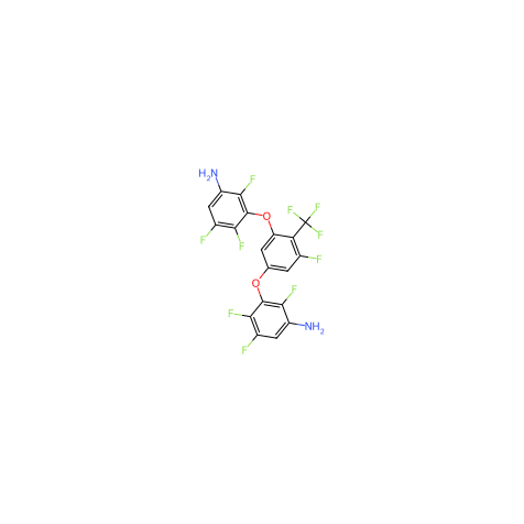 Nc1cc(F)c(F)c(Oc2cc(F)c(C(F)(F)F)c(Oc3c(F)c(N)cc(F)c3F)c2)c1F